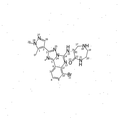 Cc1c(-c2nc3c4cccc(Br)c4nc(N[C@@H]4CNCCNC4=O)n3n2)cnn1C